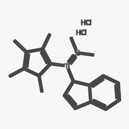 CC1=C(C)C(C)[C]([Ti]([CH]2C=Cc3ccccc32)=[Si](C)C)=C1C.Cl.Cl